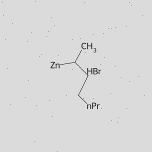 Br.CCCCC[CH](C)[Zn]